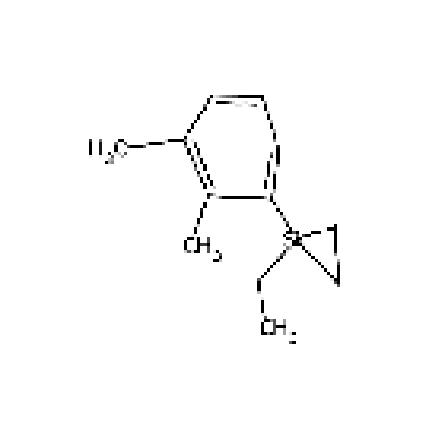 CC[Si]1(c2cccc(C)c2C)CC1